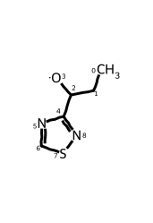 CCC([O])c1ncsn1